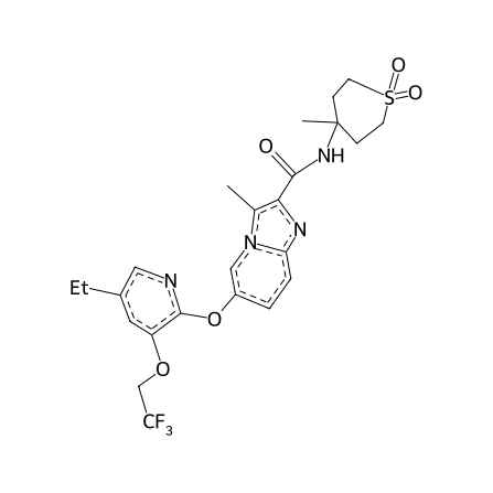 CCc1cnc(Oc2ccc3nc(C(=O)NC4(C)CCS(=O)(=O)CC4)c(C)n3c2)c(OCC(F)(F)F)c1